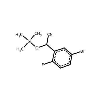 C[Si](C)(C)OC(C#N)c1cc(Br)ccc1F